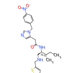 CC[C@H](C)[C@@H](CNCc1cccs1)NC(=O)Cc1cncn1Cc1ccc([N+](=O)[O-])cc1